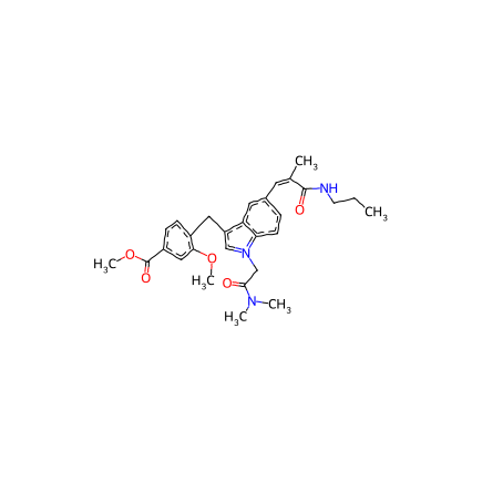 CCCNC(=O)C(C)=Cc1ccc2c(c1)c(Cc1ccc(C(=O)OC)cc1OC)cn2CC(=O)N(C)C